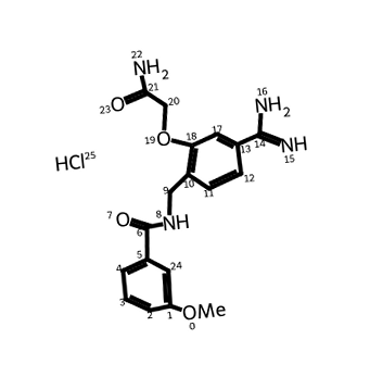 COc1cccc(C(=O)NCc2ccc(C(=N)N)cc2OCC(N)=O)c1.Cl